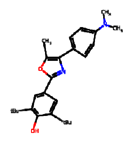 Cc1oc(-c2cc(C(C)(C)C)c(O)c(C(C)(C)C)c2)nc1-c1ccc(N(C)C)cc1